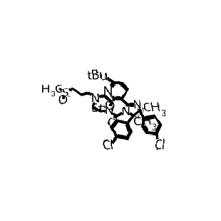 CCOc1nc(C(C)(C)C)ccc1C1=N[C@@](C)(c2ccc(Cl)cc2)[C@@](C)(c2ccc(Cl)cc2)N1C(=O)N1CCN(CCC[S+](C)[O-])CC1